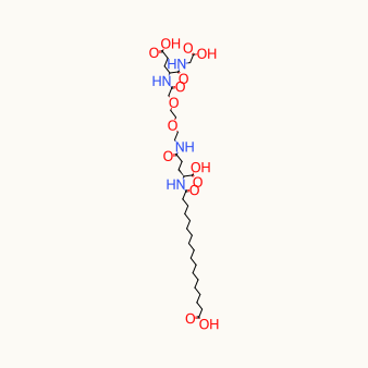 O=C(O)CCCCCCCCCCCCCCCCC(=O)N[C@@H](CCC(=O)NCCOCCOCC(=O)NC(CCC(=O)O)C(=O)NCC(=O)O)C(=O)O